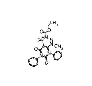 CCOC(=O)NC(=S)c1c(NC)n(-c2ccccc2)c(=O)n(-c2ccccc2)c1=O